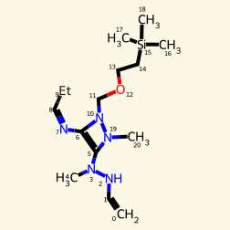 C=CNN(C)c1c(/N=C\CC)n(COCC[Si](C)(C)C)n1C